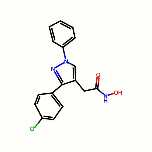 O=C(Cc1cn(-c2ccccc2)nc1-c1ccc(Cl)cc1)NO